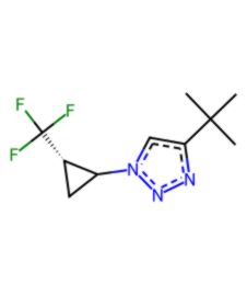 CC(C)(C)c1cn(C2C[C@@H]2C(F)(F)F)nn1